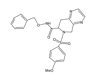 COc1ccc(S(=O)(=O)N2Cc3nccnc3CC2C(=O)NOCc2ccccc2)cc1